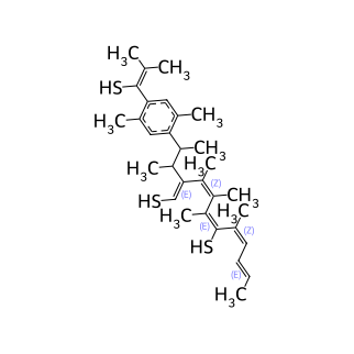 C/C=C/C=C(C)\C(S)=C(C)/C(C)=C(C)\C(=C\S)C(C)C(C)c1cc(C)c(C(S)=C(C)C)cc1C